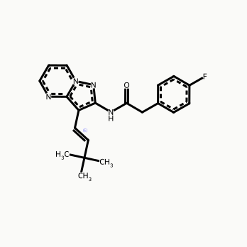 CC(C)(C)/C=C/c1c(NC(=O)Cc2ccc(F)cc2)nn2cccnc12